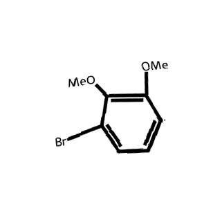 COc1[c]ccc(Br)c1OC